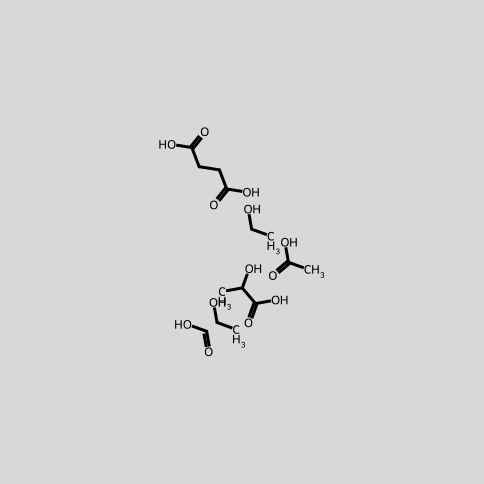 CC(=O)O.CC(O)C(=O)O.CCO.CCO.O=C(O)CCC(=O)O.O=CO